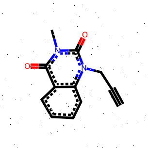 C#CCn1c(=O)n(C)c(=O)c2ccccc21